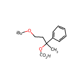 CCC(C)OCCC(C)(OC(=O)O)c1ccccc1